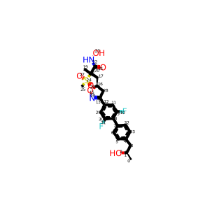 C[C@@H](O)Cc1ccc(-c2c(F)cc(C3=NO[C@@H](CC(C)(C(=O)NO)S(C)(=O)=O)C3)cc2F)cc1